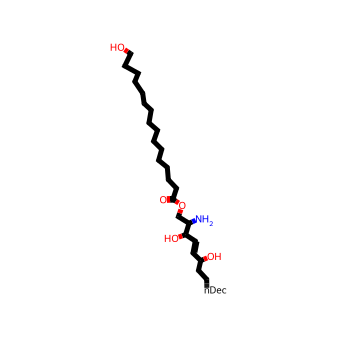 CCCCCCCCCCCCC(O)/C=C/C(O)C(N)COC(=O)CCCCCCCCCCCCCCCO